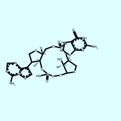 Nc1nc2c(c(=O)[nH]1)NNN2[C@@]12CSC(COP(=O)(O)O[C@H]3C(c4cnn5c(N)ncnc45)CO[C@@H]3COP(=O)(S)O1)[C@H]2O